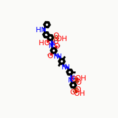 COc1cc(N=Nc2c(S(=O)(=O)O)cc3cc(Nc4ccccc4)ccc3c2O)c(OC)cc1N=Nc1cc(C)c(N=Nc2ccc(N=Nc3ccc(S(=O)(=O)O)cc3S(=O)(=O)O)c(C)c2)cc1C